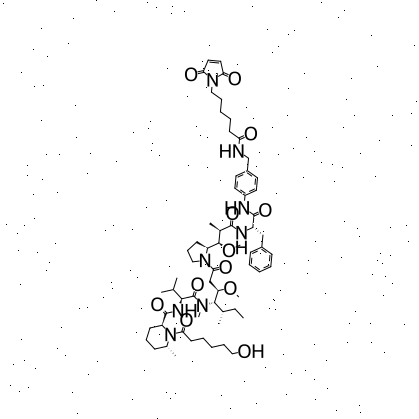 CC[C@H](C)[C@@H]([C@@H](CC(=O)N1CCC[C@H]1[C@H](OC)[C@@H](C)C(=O)N[C@@H](Cc1ccccc1)C(=O)Nc1ccc(CNC(=O)CCCCCN2C(=O)C=CC2=O)cc1)OC)N(C)C(=O)[C@@H](NC(=O)[C@@H]1CCC[C@@H](C)N1C(=O)CCCCCO)C(C)C